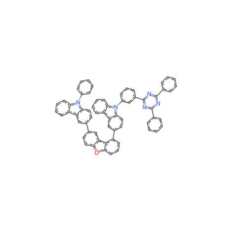 c1ccc(-c2nc(-c3ccccc3)nc(-c3cccc(-n4c5ccccc5c5cc(-c6cccc7oc8ccc(-c9ccc%10c(c9)c9ccccc9n%10-c9ccccc9)cc8c67)ccc54)c3)n2)cc1